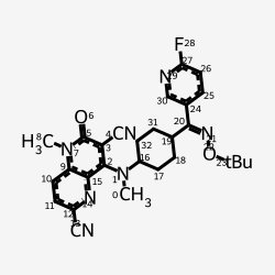 CN(c1c(C#N)c(=O)n(C)c2ccc(C#N)nc12)C1CCC(/C(=N\OC(C)(C)C)c2ccc(F)nc2)CC1